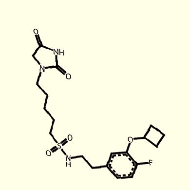 O=C1CN(CCCCCS(=O)(=O)NCCc2ccc(F)c(OC3CCC3)c2)C(=O)N1